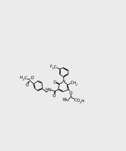 Cc1c(OC(C(=O)O)C(C)(C)C)cc(C(=O)NCc2ccc(S(C)(=O)=O)cc2)c(=O)n1-c1cccc(C(F)(F)F)c1